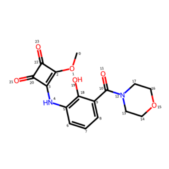 COc1c(Nc2cccc(C(=O)N3CCOCC3)c2O)c(=O)c1=O